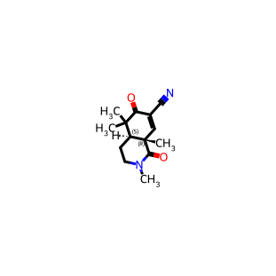 CN1CC[C@H]2C(C)(C)C(=O)C(C#N)=C[C@]2(C)C1=O